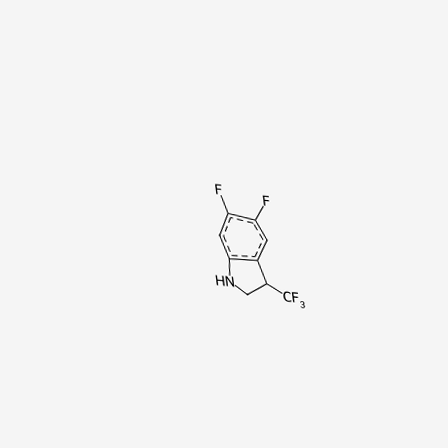 Fc1cc2c(cc1F)C(C(F)(F)F)CN2